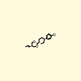 C/C=C/[C@H]1CO[C@H]([C@H]2CC[C@H](c3ccc(Cl)cc3)CC2)OC1